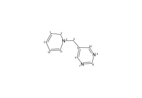 C1=CCN(Cc2cncnc2)C=C1